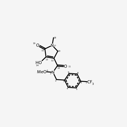 CON(Cc1ccc(C(F)(F)F)cc1)C(=O)C1=C(O)C(=O)N(C)C1